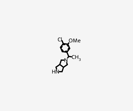 COc1cc(C(C)N2CC3CNCC3C2)ccc1Cl